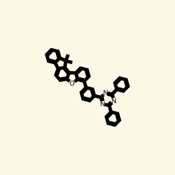 CC1(C)c2ccccc2-c2ccc3oc4c(-c5cccc(-c6nc(-c7ccccc7)nc(-c7ccccc7)n6)c5)cccc4c3c21